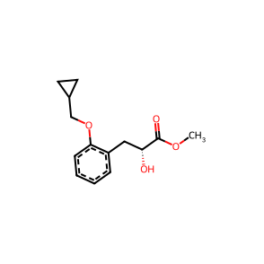 COC(=O)[C@H](O)Cc1ccccc1OCC1CC1